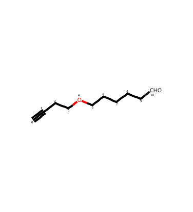 C#CCCOCCCCCC=O